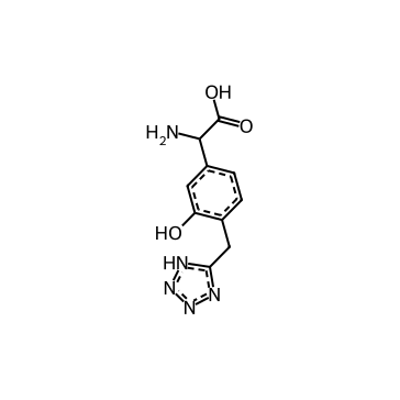 NC(C(=O)O)c1ccc(Cc2nnn[nH]2)c(O)c1